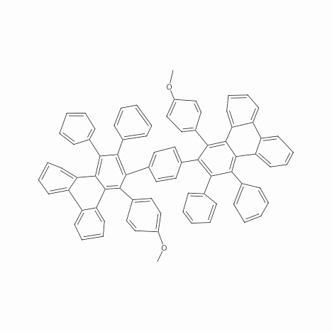 COc1ccc(-c2c(-c3ccc(-c4c(-c5ccccc5)c(-c5ccccc5)c5c6ccccc6c6ccccc6c5c4-c4ccc(OC)cc4)cc3)c(-c3ccccc3)c(-c3ccccc3)c3c4ccccc4c4ccccc4c23)cc1